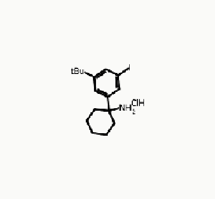 CC(C)(C)c1cc(I)cc(C2(N)CCCCC2)c1.Cl